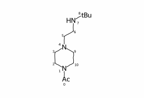 CC(=O)N1CCN(CCNC(C)(C)C)CC1